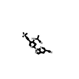 CC(C#N)Nc1cc(-n2ncc3cc(C#N)cnc32)ncc1C#C[Si](C)(C)C